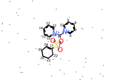 O=S(=O)(OC([n+]1ccccc1)[n+]1ccccc1)C1=CCCCC1